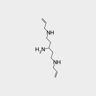 C=CCNCCC(N)CCNCC=C